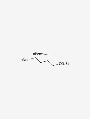 CCCCCC.CCCCCCCCCCCCCC(=O)OCC